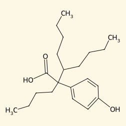 CCCCC(CCCC)C(CCCC)(C(=O)O)c1ccc(O)cc1